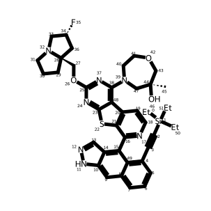 CC[Si](C#Cc1cccc2cc3[nH]ncc3c(-c3nccc4c3sc3nc(OC[C@@]56CCCN5C[C@H](F)C6)nc(N5CCOC[C@@](C)(O)C5)c34)c12)(CC)CC